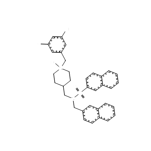 CC[N+]1(Cc2cc(C)cc(C)c2)CCC(CN(Cc2ccc3ccccc3c2)S(=O)(=O)c2ccc3ccccc3c2)CC1